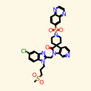 CS(=O)(=O)CCCn1c(CN2C(=O)C3(CCN(S(=O)(=O)c4ccc5nccnc5c4)CC3)c3ccncc32)nc2cc(Cl)ccc21